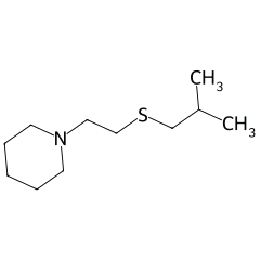 CC(C)CSCCN1CCCCC1